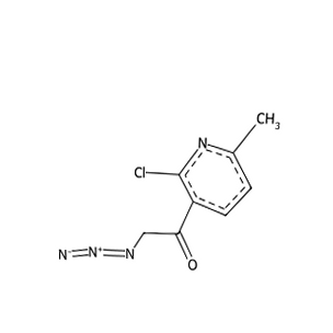 Cc1ccc(C(=O)CN=[N+]=[N-])c(Cl)n1